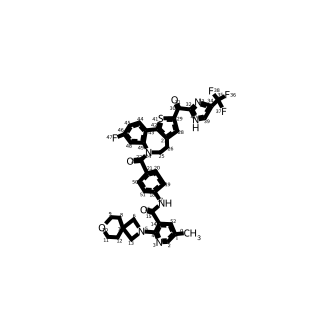 Cc1cnc(N2CC3(CCOCC3)C2)c(C(=O)Nc2ccc(C(=O)N3CCc4cc(C(=O)c5nc(C(F)(F)F)c[nH]5)sc4-c4ccc(F)cc43)cc2)c1